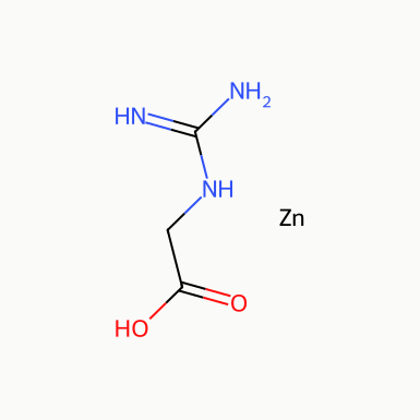 N=C(N)NCC(=O)O.[Zn]